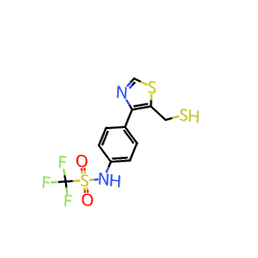 O=S(=O)(Nc1ccc(-c2ncsc2CS)cc1)C(F)(F)F